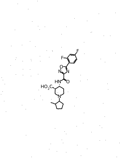 CC1CCCC1N1CC[C@@H](NC(=O)c2noc(-c3ccc(F)cc3F)n2)[C@H](C(=O)O)C1